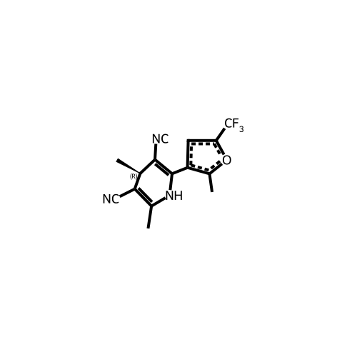 [C-]#[N+]C1=C(c2cc(C(F)(F)F)oc2C)NC(C)=C(C#N)[C@H]1C